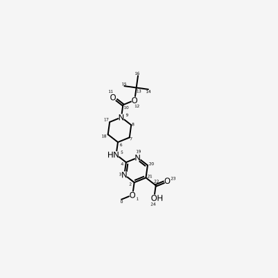 COc1nc(NC2CCN(C(=O)OC(C)(C)C)CC2)ncc1C(=O)O